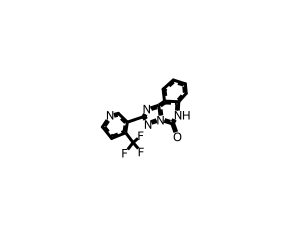 O=c1[nH]c2ccccc2c2nc(-c3cnccc3C(F)(F)F)nn12